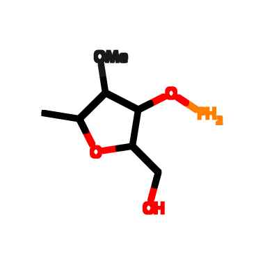 COC1C(C)OC(CO)C1OP